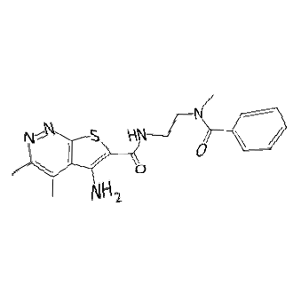 Cc1nnc2sc(C(=O)NCCN(C)C(=O)c3ccccc3)c(N)c2c1C